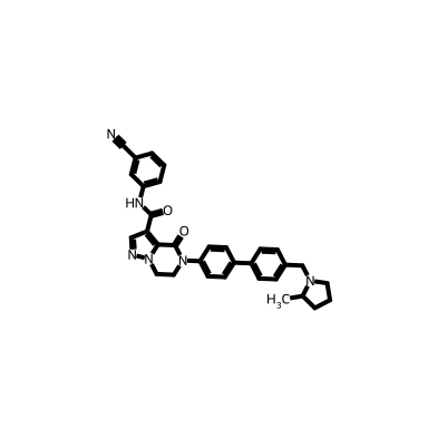 CC1CCCN1Cc1ccc(-c2ccc(N3CCn4ncc(C(=O)Nc5cccc(C#N)c5)c4C3=O)cc2)cc1